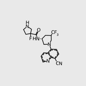 N#Cc1ccc(N2CC(C(F)(F)F)C[C@@H](NC(=O)C3(F)CCNC3)C2)c2cccnc12